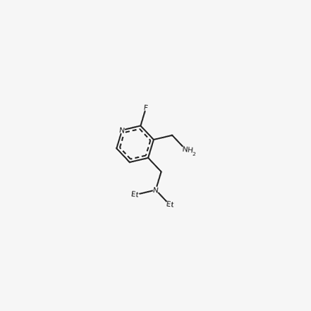 CCN(CC)Cc1ccnc(F)c1CN